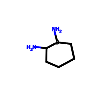 NB1CCCCC1N